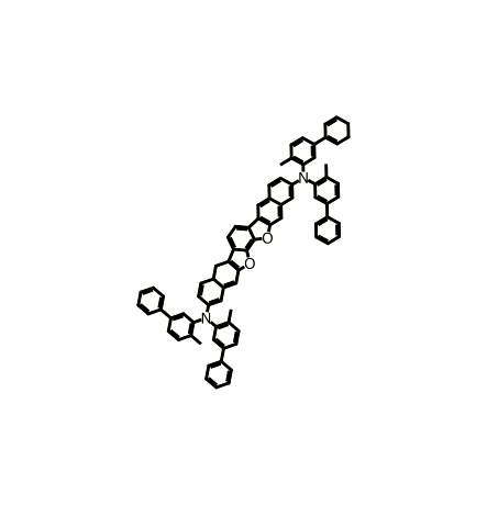 Cc1ccc(-c2ccccc2)cc1N(C1=CC2=Cc3oc4c(ccc5c6cc7ccc(N(c8cc(C9=CCCC=C9)ccc8C)c8cc(-c9ccccc9)ccc8C)cc7cc6oc54)c3CC2C=C1)c1cc(-c2ccccc2)ccc1C